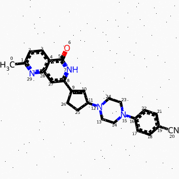 Cc1ccc2c(=O)[nH]c(C3=CC(N4CCN(c5ccc(C#N)cc5)CC4)CC3)cc2n1